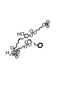 CNC(=O)CCC/C=C\C[C@@H]1[C@@H](/C=C/[C@H](CCc2ccccc2)OC(=O)OCCCCO[N+](=O)[O-])[C@H](OC(=O)OCCCCO[N+](=O)[O-])C[C@@H]1O